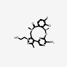 Cc1nn(CCO)c2c1-c1cnc(N)c(n1)O[C@H](C)c1c(ccc(F)c1Cl)C(=O)N(C)C2